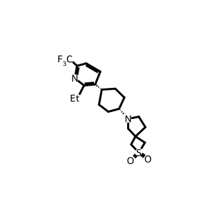 CCc1nc(C(F)(F)F)ccc1[C@H]1CC[C@@H](N2CCC3(C2)CS(=O)(=O)C3)CC1